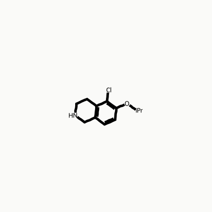 CC(C)Oc1ccc2c(c1Cl)CCNC2